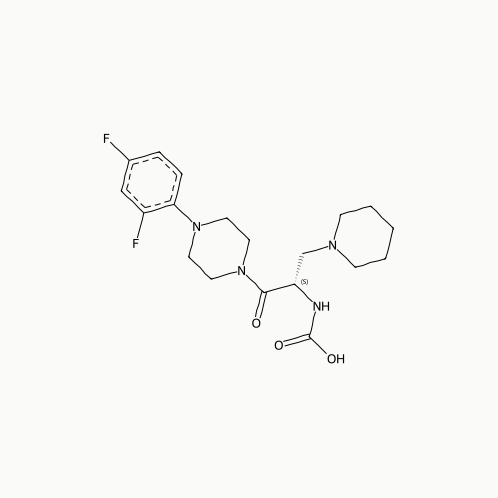 O=C(O)N[C@@H](CN1CCCCC1)C(=O)N1CCN(c2ccc(F)cc2F)CC1